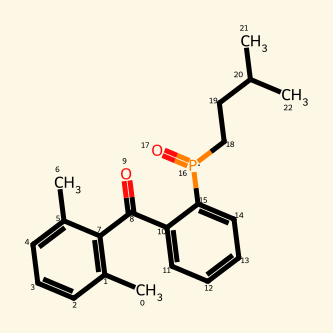 Cc1cccc(C)c1C(=O)c1ccccc1[P](=O)CCC(C)C